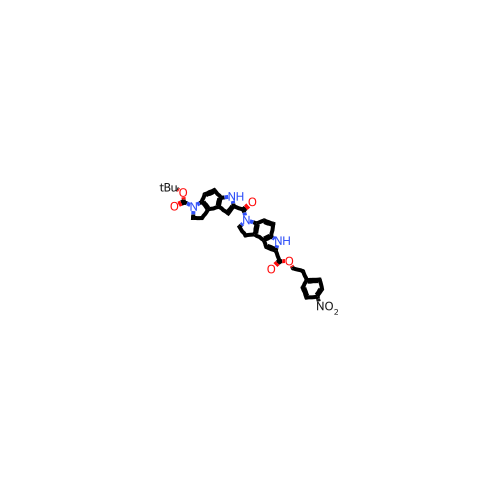 CC(C)(C)OC(=O)N1CCc2c1ccc1[nH]c(C(=O)N3CCc4c3ccc3[nH]c(C(=O)OCCc5ccc([N+](=O)[O-])cc5)cc43)cc21